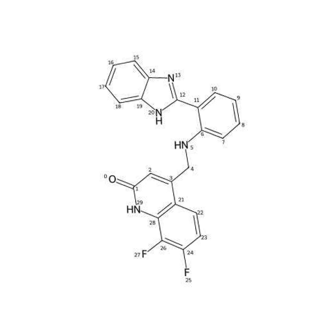 O=c1cc(CNc2ccccc2-c2nc3ccccc3[nH]2)c2ccc(F)c(F)c2[nH]1